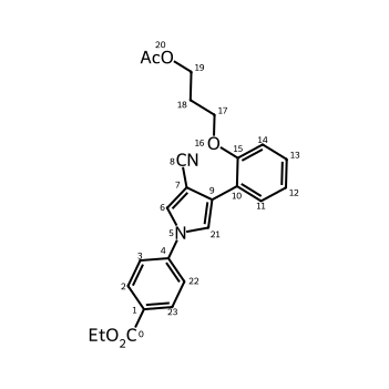 CCOC(=O)c1ccc(-n2cc(C#N)c(-c3ccccc3OCCCOC(C)=O)c2)cc1